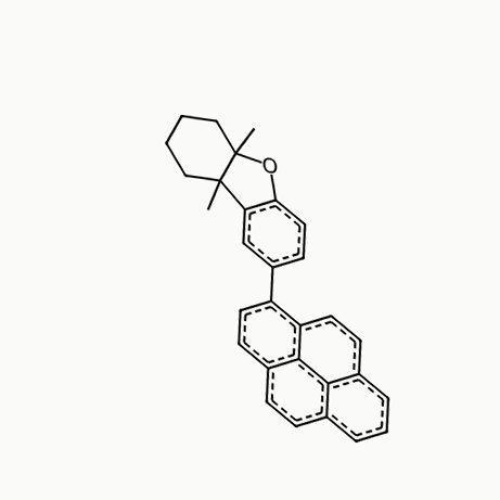 CC12CCCCC1(C)c1cc(-c3ccc4ccc5cccc6ccc3c4c56)ccc1O2